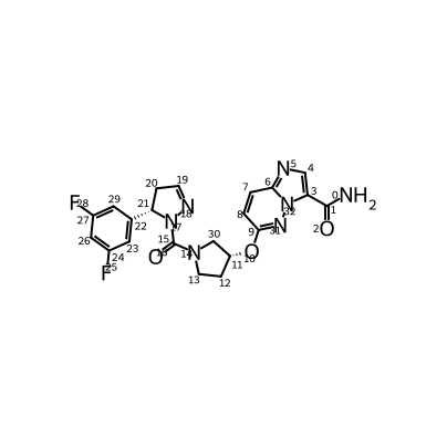 NC(=O)c1cnc2ccc(O[C@@H]3CCN(C(=O)N4N=CC[C@H]4c4cc(F)cc(F)c4)C3)nn12